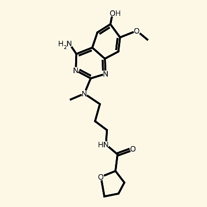 COc1cc2nc(N(C)CCCNC(=O)C3CCCO3)nc(N)c2cc1O